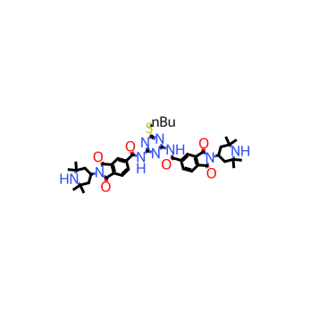 CCCCSc1nc(NC(=O)c2ccc3c(c2)C(=O)N(C2CC(C)(C)NC(C)(C)C2)C3=O)nc(NC(=O)c2ccc3c(c2)C(=O)N(C2CC(C)(C)NC(C)(C)C2)C3=O)n1